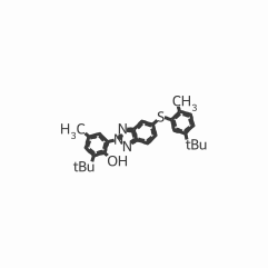 Cc1cc(-n2nc3ccc(Sc4cc(C(C)(C)C)ccc4C)cc3n2)c(O)c(C(C)(C)C)c1